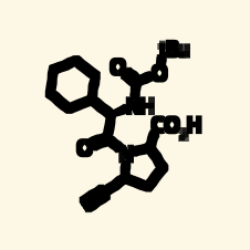 C#CC1CCC(C(=O)O)N1C(=O)[C@H](NC(=O)OC(C)(C)C)C1CCCCC1